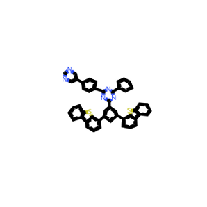 c1ccc(-c2nc(-c3ccc(-c4cncnc4)cc3)nc(-c3cc(-c4cccc5c4sc4ccccc45)cc(-c4cccc5c4sc4ccccc45)c3)n2)cc1